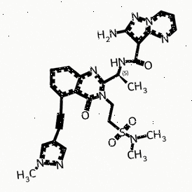 C[C@H](NC(=O)c1c(N)nn2cccnc12)c1nc2cccc(C#Cc3cnn(C)c3)c2c(=O)n1CCS(=O)(=O)N(C)C